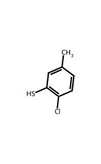 Cc1ccc(Cl)c(S)c1